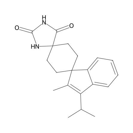 CC1=C(C(C)C)c2ccccc2C12CCC1(CC2)NC(=O)NC1=O